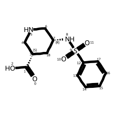 O=C(O)[C@@H]1CNC[C@H](NS(=O)(=O)c2ccccc2)C1